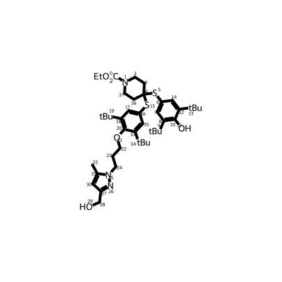 CCOC(=O)N1CCC(Sc2cc(C(C)(C)C)c(O)c(C(C)(C)C)c2)(Sc2cc(C(C)(C)C)c(OCCCn3nc(CO)cc3C)c(C(C)(C)C)c2)CC1